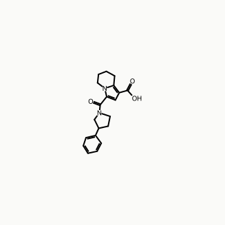 O=C(O)c1cc(C(=O)N2CCC(c3ccccc3)C2)n2c1CCCC2